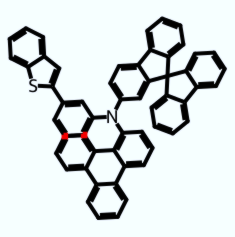 c1cc(-c2cc3ccccc3s2)cc(N(c2ccc3c(c2)C2(c4ccccc4-c4ccccc42)c2ccccc2-3)c2cccc3c4ccccc4c4ccccc4c23)c1